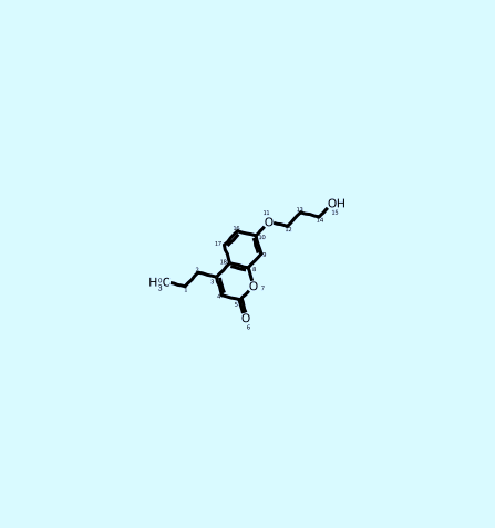 CCCc1cc(=O)oc2cc(OCCCO)ccc12